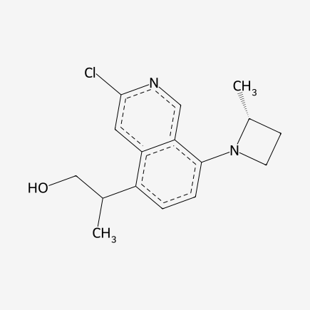 CC(CO)c1ccc(N2CC[C@H]2C)c2cnc(Cl)cc12